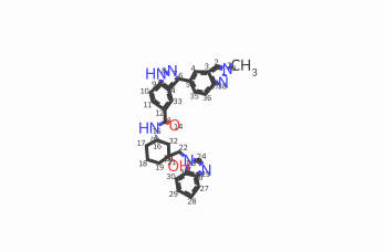 Cn1cc2cc(-c3n[nH]c4ccc(C(=O)N[C@H]5CCC[C@@](O)(Cn6cnc7ccccc76)C5)cc34)ccc2n1